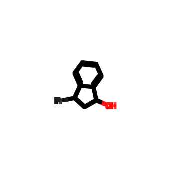 CC(C)C1CC(O)c2ccccc21